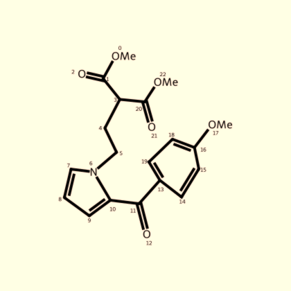 COC(=O)C(CCn1cccc1C(=O)c1ccc(OC)cc1)C(=O)OC